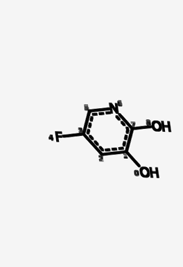 Oc1cc(F)cnc1O